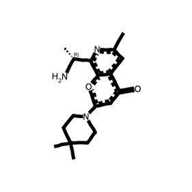 Cc1cc2c(=O)cc(N3CCC(C)(C)CC3)oc2c([C@@H](C)N)n1